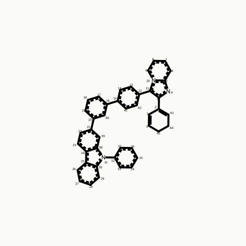 C1=CC(c2nc3ccccn3c2-c2ccc(-c3cccc(-c4ccc5c6ccccc6n(-c6ccccc6)c5c4)c3)cc2)=CCC1